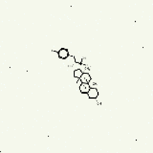 CC(O)([C@H](O)Cc1ccc(F)cc1)[C@H]1CC[C@H]2[C@@H]3CC=C4C[C@@H](O)CC[C@]4(C)[C@H]3CC[C@]12C